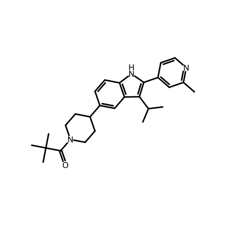 Cc1cc(-c2[nH]c3ccc(C4CCN(C(=O)C(C)(C)C)CC4)cc3c2C(C)C)ccn1